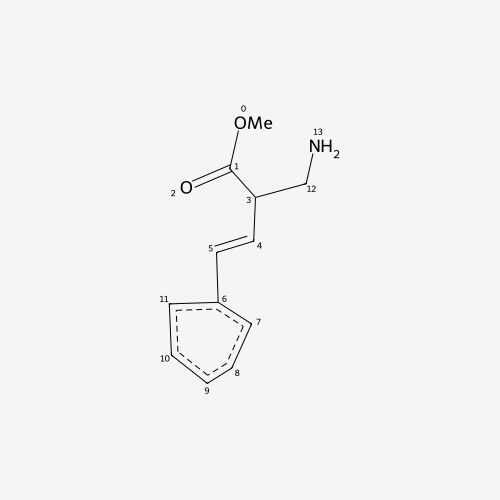 COC(=O)C(C=Cc1ccccc1)CN